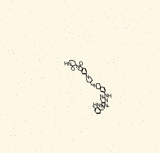 Cc1cccc(C)c1Nc1nn(C)c2nc(Nc3ccc4c(c3)CN(CC3CCN(c5ccc6c(c5)CN(C5CCCNC5=O)C6=O)CC3)CC4)ncc12